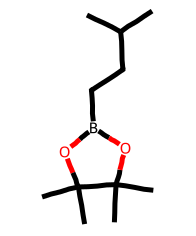 CC(C)CCB1OC(C)(C)C(C)(C)O1